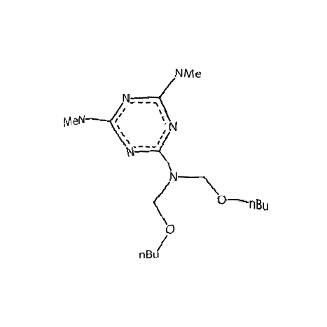 CCCCOCN(COCCCC)c1nc(NC)nc(NC)n1